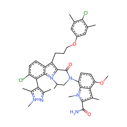 COc1ccc(N2CC(C)n3c(c(CCCOc4cc(C)c(Cl)c(C)c4)c4ccc(Cl)c(-c5c(C)nn(C)c5C)c43)C2=O)c2c1c(C)c(C(N)=O)n2C